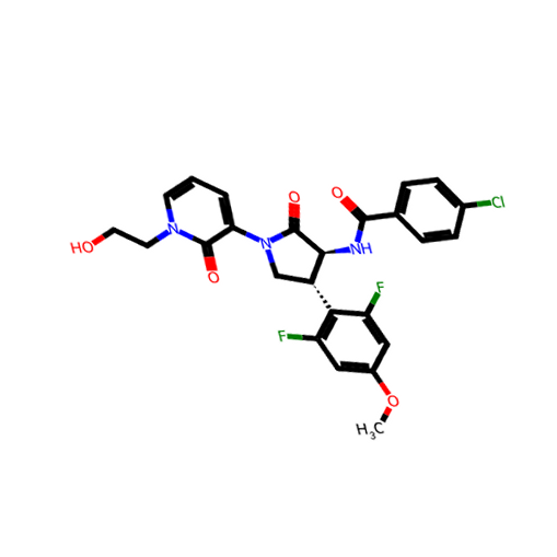 COc1cc(F)c([C@@H]2CN(c3cccn(CCO)c3=O)C(=O)[C@H]2NC(=O)c2ccc(Cl)cc2)c(F)c1